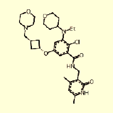 CCN(c1cc(O[C@H]2C[C@H](CN3CCOCC3)C2)cc(C(=O)NCc2c(C)cc(C)[nH]c2=O)c1Cl)C1CCOCC1